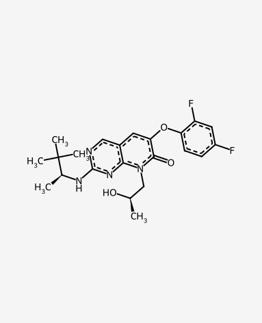 C[C@H](Nc1ncc2cc(Oc3ccc(F)cc3F)c(=O)n(C[C@@H](C)O)c2n1)C(C)(C)C